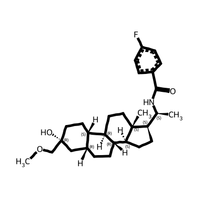 COC[C@@]1(O)CC[C@H]2[C@H](CC[C@@H]3[C@@H]2CC[C@]2(C)[C@@H]([C@H](C)NC(=O)c4ccc(F)cc4)CC[C@@H]32)C1